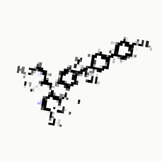 C=C/C=C\C(=C(C)C)N(C(=C)/C=C\C)c1ccc(C(C)(C)c2ccc(-c3ccc(C)cc3)cc2)cc1